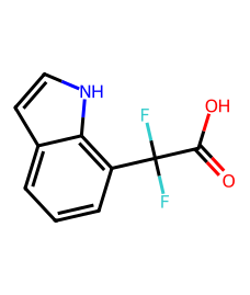 O=C(O)C(F)(F)c1cccc2cc[nH]c12